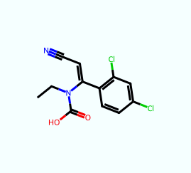 CCN(C(=O)O)C(=CC#N)c1ccc(Cl)cc1Cl